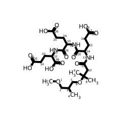 COCC(C)COC(C)(C)CC(=O)NC(CCC(=O)O)C(=O)NC(CCC(=O)O)C(=O)NC(CCC(=O)O)C(=O)O